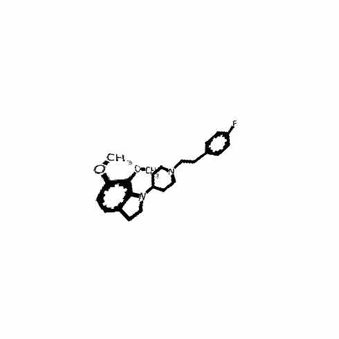 COc1ccc2c(c1OC)N(C1CCN(CCc3ccc(F)cc3)CC1)CC2